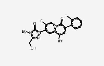 CCn1c(CO)nn(-c2cc3c(C(C)C)cc(-c4ccccc4C)c(=O)n3cc2F)c1=O